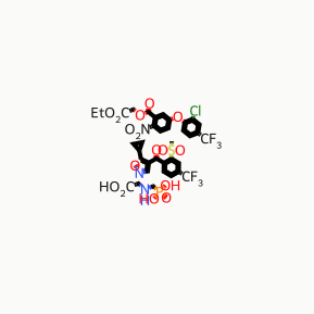 CCOC(=O)COC(=O)c1cc(Oc2ccc(C(F)(F)F)cc2Cl)ccc1[N+](=O)[O-].CS(=O)(=O)c1cc(C(F)(F)F)ccc1C(=O)c1cnoc1C1CC1.O=C(O)CNCP(=O)(O)O